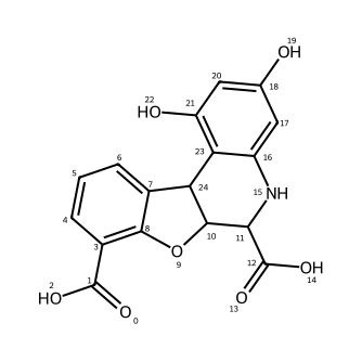 O=C(O)c1cccc2c1OC1C(C(=O)O)Nc3cc(O)cc(O)c3C21